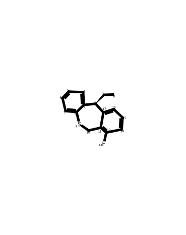 CC[C@@H]1c2ccccc2SCc2c(F)cccc21